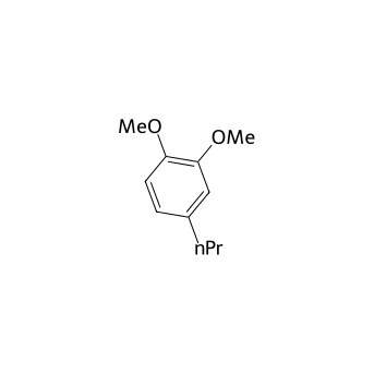 [CH2]CCc1ccc(OC)c(OC)c1